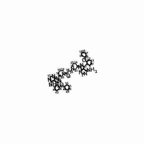 Nc1ncnc2c1c(-c1ccccc1Oc1ccccc1)nn2[C@@H]1CCCN(CCC(=O)N2CCC[C@@H](n3nc(-c4ccccc4Oc4ccccc4)c4c(N)ncnc43)C2)C1